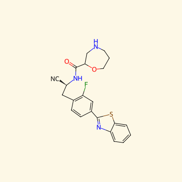 N#C[C@H](Cc1ccc(-c2nc3ccccc3s2)cc1F)NC(=O)C1CNCCCO1